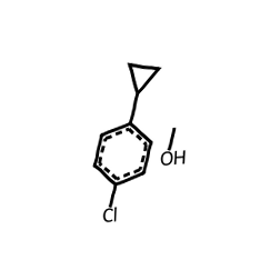 CO.Clc1ccc(C2CC2)cc1